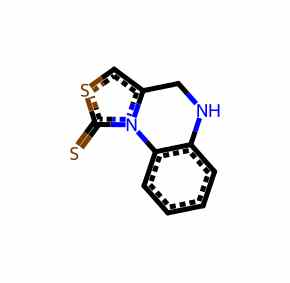 S=c1scc2n1-c1ccccc1NC2